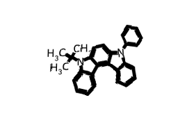 CC(C)(C)n1c2ccccc2c2c3c4ccccc4n(-c4ccccc4)c3ccc21